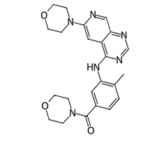 Cc1ccc(C(=O)N2CCOCC2)cc1Nc1ncnc2cnc(N3CCOCC3)cc12